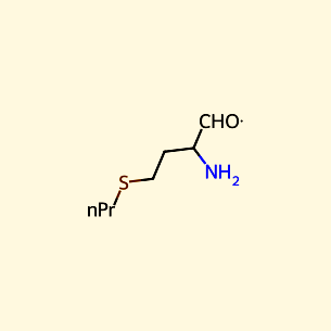 CCCSCCC(N)[C]=O